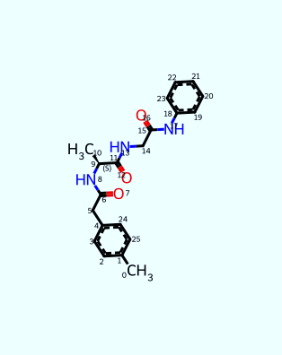 Cc1ccc(CC(=O)N[C@@H](C)C(=O)NCC(=O)Nc2ccccc2)cc1